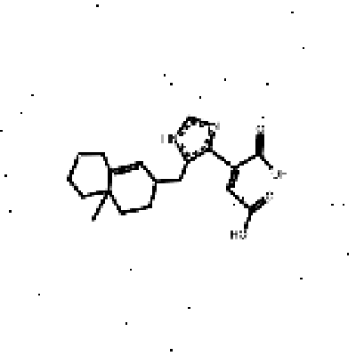 CC12CCCCC1=CC(Cc1[nH]cnc1C(=CC(=O)O)C(=O)O)CC2